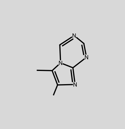 Cc1nc2ncncn2c1C